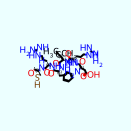 CC[C@H](C)[C@H](NC(=O)[C@H](CCCNC(=N)N)NC(=O)[C@@H](N)CC(=O)O)C(=O)N[C@@H](Cc1ccccc1)C(=O)N[C@@H](CCCNC(=N)N)C(=O)N[C@H]([C]=O)CS